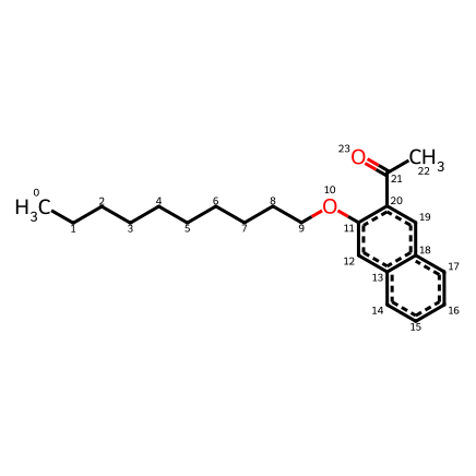 CCCCCCCCCCOc1cc2ccccc2cc1C(C)=O